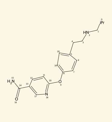 CC(C)CNCCc1ccc(Oc2ccc(C(N)=O)cn2)cc1